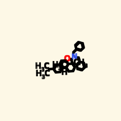 CC(C)C1=CC2=CCC3[C@](C)(C(=O)N(Cc4ccccc4)Cc4ccccc4)CCC[C@]3(C)[C@H]2CC1